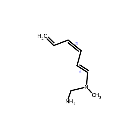 C=C/C=C\C=C\N(C)CN